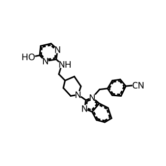 N#Cc1ccc(Cn2c(N3CCC(CNc4nccc(O)n4)CC3)nc3ccccc32)cc1